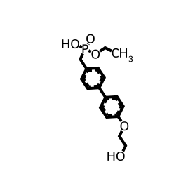 CCOP(=O)(O)Cc1ccc(-c2ccc(OCCO)cc2)cc1